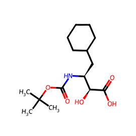 CC(C)(C)OC(=O)N[C@@H](CC1CCCCC1)[C@H](O)C(=O)O